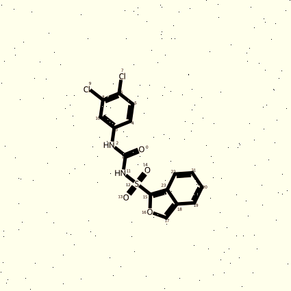 O=C(Nc1ccc(Cl)c(Cl)c1)NS(=O)(=O)c1occ2ccccc12